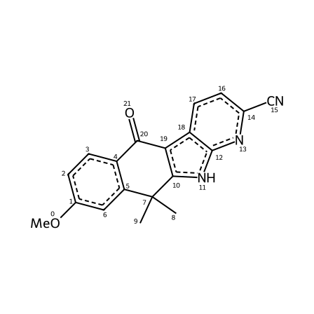 COc1ccc2c(c1)C(C)(C)c1[nH]c3nc(C#N)ccc3c1C2=O